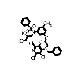 Cc1cc(OCCN(Cc2ccccc2)c2c(Cl)c(Cl)nc(Cl)c2Cl)cc(N(CC(O)CO)S(=O)(=O)c2ccccc2)c1